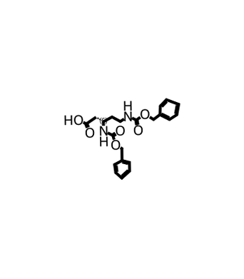 O=C(O)C[C@H](CCNC(=O)OCc1ccccc1)NC(=O)OCc1ccccc1